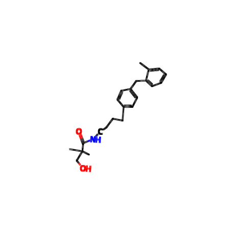 Cc1ccccc1Cc1ccc(CCCCNC(=O)C(C)(C)CO)cc1